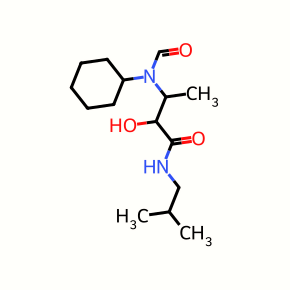 CC(C)CNC(=O)C(O)C(C)N(C=O)C1CCCCC1